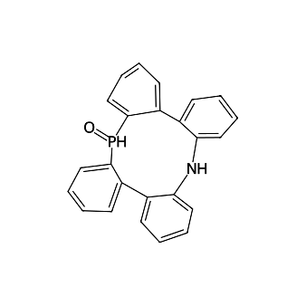 O=[PH]1c2ccccc2-c2ccccc2Nc2ccccc2-c2ccccc21